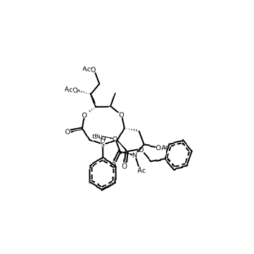 CC(=O)OC[C@@H](OC(C)=O)[C@H]1OC(=O)C[SH](c2ccccc2)C(C(=O)OCc2ccccc2)[C@@H](CC(OC(C)=O)N(C(C)=O)C(=O)OC(C)(C)C)OC1C